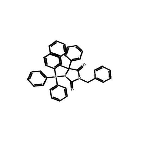 O=C1N(Cc2ccccc2)C(=O)C(Cc2ccccc2)(c2ccccc2)N1[Si](c1ccccc1)(c1ccccc1)c1ccccc1